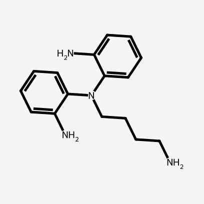 NCCCCN(c1ccccc1N)c1ccccc1N